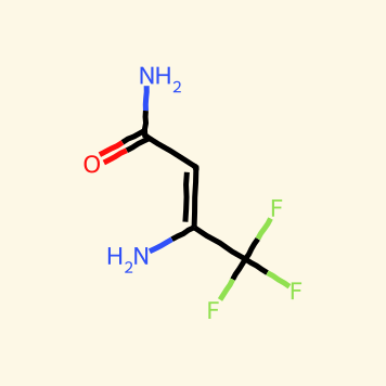 NC(=O)/C=C(\N)C(F)(F)F